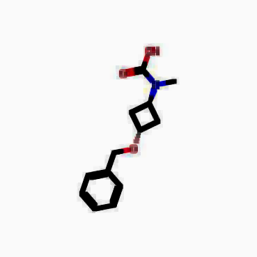 CN(C(=O)O)[C@H]1C[C@H](OCc2ccccc2)C1